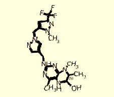 Cc1nc(NCc2cnn(Cc3cc(C(F)(F)F)nn3C)c2)nc2c1NC(O)[C@H](C)N2C